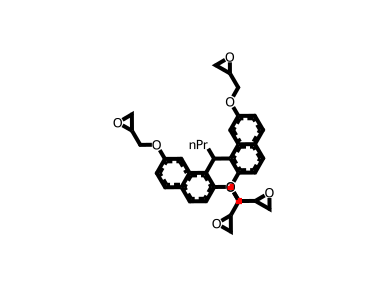 CCCC(c1c(OCC2CO2)ccc2ccc(OCC3CO3)cc12)c1c(OCC2CO2)ccc2ccc(OCC3CO3)cc12